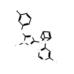 CCCn1nc(NC2C3=CC2CN3c2cc(C)ncn2)nc1Oc1cccc(Cl)c1